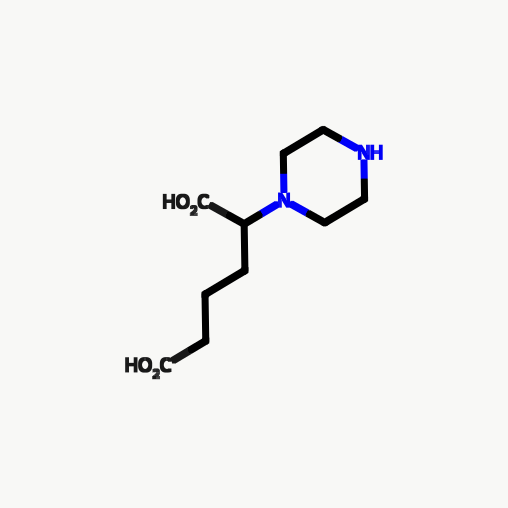 O=C(O)CCCC(C(=O)O)N1CCNCC1